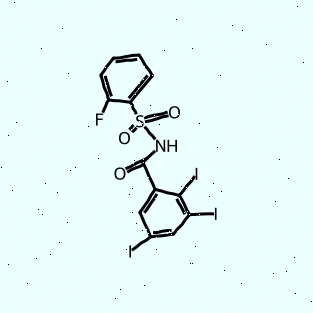 O=C(NS(=O)(=O)c1ccccc1F)c1cc(I)cc(I)c1I